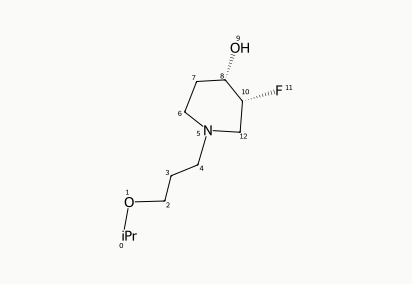 CC(C)OCCCN1CC[C@H](O)[C@H](F)C1